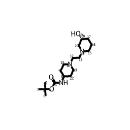 CC(C)(C)OC(=O)NC1CCN(CCN2CCC[C@@H](O)C2)CC1